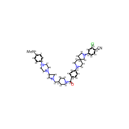 CNc1ccc(N2CCN(C3CN(CC4CCN(C(=O)c5ccc(N6CCC7(CC6)CCN(c6ccc(C#N)c(Cl)c6)C7)cc5)CC4)C3)CC2)cc1